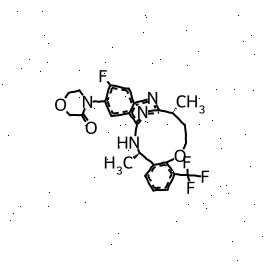 C[C@@H]1CCOc2c(cccc2C(F)(F)F)[C@@H](C)Nc2nc1nc1cc(F)c(N3CCOCC3=O)cc21